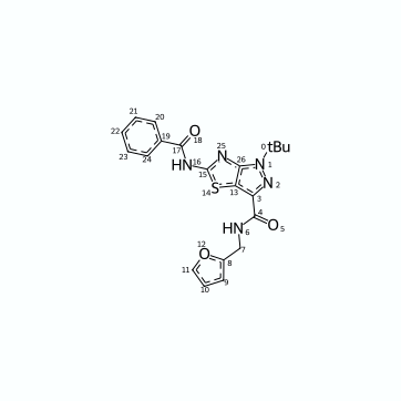 CC(C)(C)n1nc(C(=O)NCc2ccco2)c2sc(NC(=O)c3ccccc3)nc21